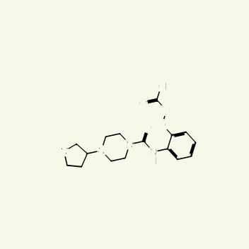 CC(=O)OOc1ccccc1NC(=O)N1CCN(C2CCNC2)CC1